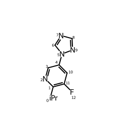 CC(C)c1ncc(-n2cncn2)cc1F